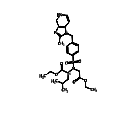 CCOC(=O)CN([C@@H](CC(C)C)C(=O)OCC)S(=O)(=O)c1ccc(Cn2c(C)nc3c2C=CNC3)cc1